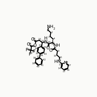 NCCCC[C@@H](NC(=O)CCCNc1ccccn1)C(=O)NC(CC(=O)OC(=O)C(F)(F)F)c1ccc(-c2ccccc2)cc1